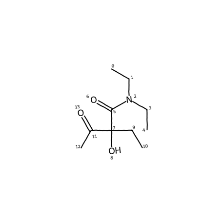 CCN(CC)C(=O)C(O)(CC)C(C)=O